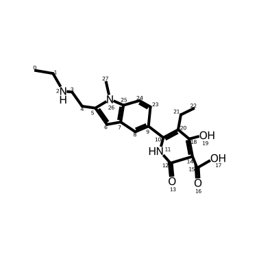 CCNCCc1cc2cc(-c3[nH]c(=O)c(C(=O)O)c(O)c3CC)ccc2n1C